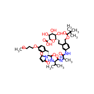 COCCCOc1ccc(C[C@H](C(=O)N[C@@H](C(=O)N[C@H](C)C(=O)Nc2ccc(COC(=O)C(C)(C)C)c(CC[C@@H]3O[C@H](C(=O)O)[C@@H](O)[C@H](O)[C@H]3O)c2)C(C)C)N2C(=O)C=CC2=O)cc1